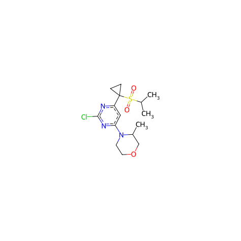 CC1COCCN1c1cc(C2(S(=O)(=O)C(C)C)CC2)nc(Cl)n1